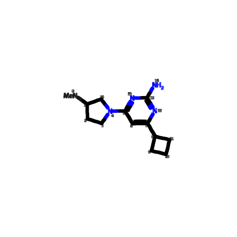 CNC1CCN(c2cc(C3CCC3)nc(N)n2)C1